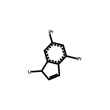 [Li][CH]1C=Cc2c(C(C)C)cc(C(C)C)cc21